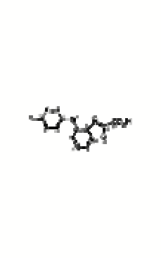 Cc1ccc(Oc2cncc3oc(C(=O)O)nc23)cc1